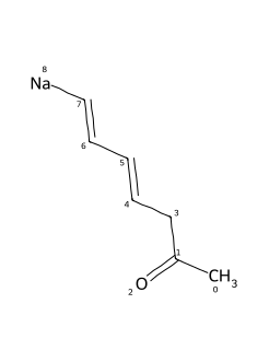 CC(=O)CC=CC=[CH][Na]